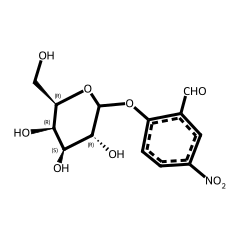 O=Cc1cc([N+](=O)[O-])ccc1OC1O[C@H](CO)[C@H](O)[C@H](O)[C@H]1O